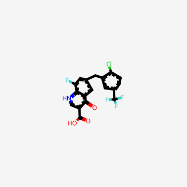 O=C(O)c1c[nH]c2c(F)cc(Cc3cc(C(F)(F)F)ccc3Cl)cc2c1=O